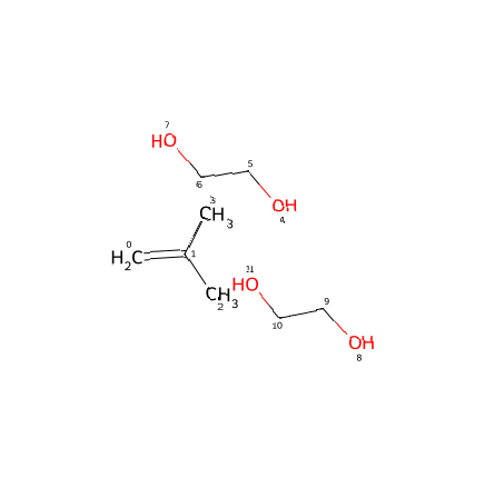 C=C(C)C.OCCO.OCCO